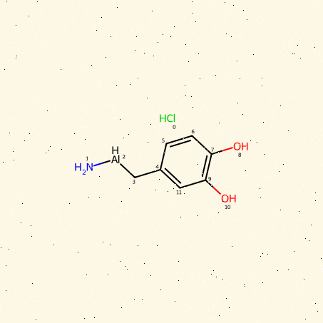 Cl.[NH2][AlH][CH2]c1ccc(O)c(O)c1